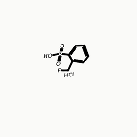 Cl.O=S(=O)(O)c1ccccc1CF